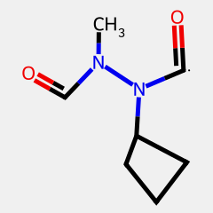 CN(C=O)N([C]=O)C1CCC1